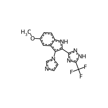 COc1ccc2[nH]c(-c3n[nH]c(C(F)(F)F)n3)c(-n3ccnc3)c2c1